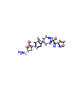 NC[C@H]1CN(c2ccc(N3CCNN(C(=O)Nc4ccon4)CC3)c(F)c2)C(=O)O1